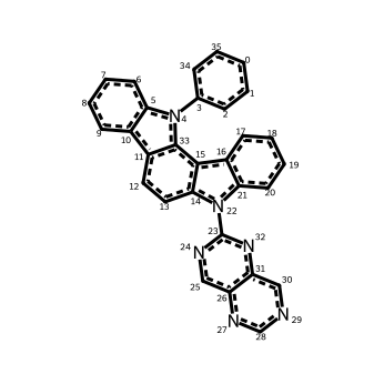 c1ccc(-n2c3ccccc3c3ccc4c(c5ccccc5n4-c4ncc5ncncc5n4)c32)cc1